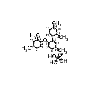 Cc1ccc(Oc2ccc(C)cc2-c2ccc(C)cc2C)c(C)c1.O=P(O)(O)O